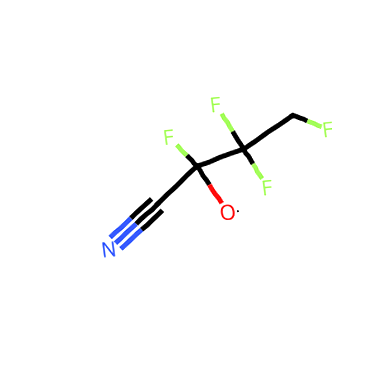 N#CC([O])(F)C(F)(F)CF